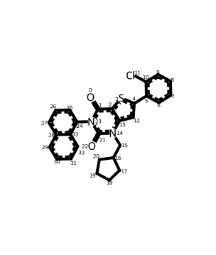 O=c1c2sc(-c3ccccc3Cl)cc2n(CC2CCCC2)c(=O)n1-c1cccc2ccccc12